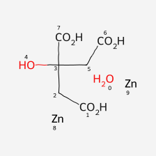 O.O=C(O)CC(O)(CC(=O)O)C(=O)O.[Zn].[Zn]